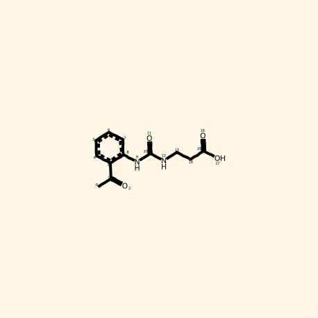 CC(=O)c1ccccc1NC(=O)NCCC(=O)O